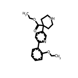 CCOC(=O)C1(c2ccc(-c3ccccc3OCC)nc2)CCNCC1